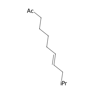 CC(=O)CCCCC=CCC(C)C